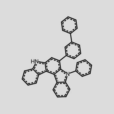 c1ccc(-c2cccc(-c3cc4[nH]c5ccccc5c4c4c5ccccc5n(-c5ccccc5)c34)c2)cc1